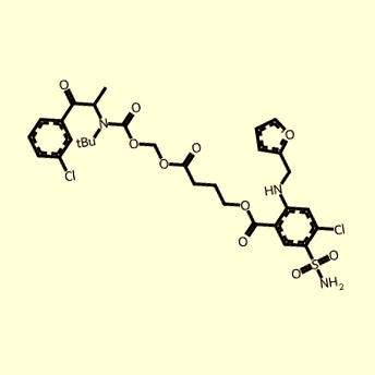 CC(C(=O)c1cccc(Cl)c1)N(C(=O)OCOC(=O)CCCOC(=O)c1cc(S(N)(=O)=O)c(Cl)cc1NCc1ccco1)C(C)(C)C